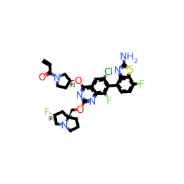 C=CC(=O)N1CC[C@@H](Oc2nc(OC[C@@]34CCCN3C[C@H](F)C4)nc3c(F)c(-c4ccc(F)c5sc(N)nc45)c(Cl)cc23)C1